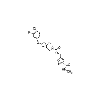 CNC(=O)c1cc(COC(=O)N2CCC3(CC2)CC(Oc2ccc(Cl)c(F)c2)C3)on1